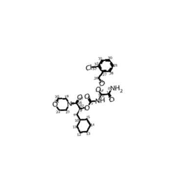 NC(=O)[C@@H](NC(=O)O[C@@H](CC1CCCCC1)C(=O)N1CCOCC1)OOCc1ccccc1Cl